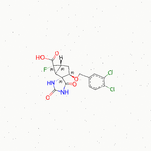 O=C1NC(=O)[C@@]2(N1)C1[C@@H](C[C@H]2OCc2ccc(Cl)c(Cl)c2)[C@]1(F)C(=O)O